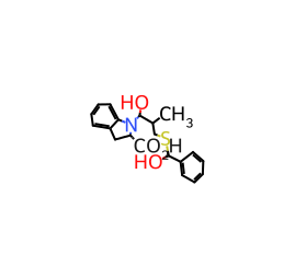 CC(CSC(O)c1ccccc1)C(O)N1c2ccccc2CC1C(=O)O